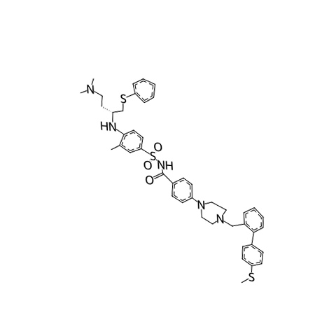 CSc1ccc(-c2ccccc2CN2CCN(c3ccc(C(=O)NS(=O)(=O)c4ccc(N[C@H](CCN(C)C)CSc5ccccc5)c(C)c4)cc3)CC2)cc1